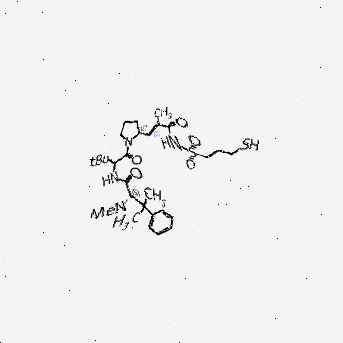 CN[C@H](C(=O)NC(C(=O)N1CCC[C@H]1/C=C(\C)C(=O)NS(=O)(=O)CCCS)C(C)(C)C)C(C)(C)c1ccccc1